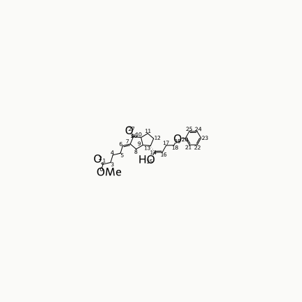 COC(=O)CCC/C=C1\CC2C(CC[C@@H]2/C(O)=C\CCOc2ccccc2)C1=O